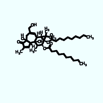 CCCCCCCCCC(=O)O[C@@H]1[C@@H](C)[C@@]2(O)[C@@H](C=C(CO)C[C@@]3(O)C(=O)C(C)=C[C@@H]23)[C@@H]2C(C)(C)[C@]12OC(=O)CCCCCCCCC